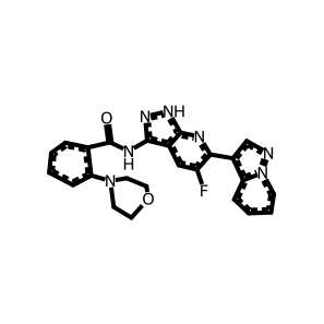 O=C(Nc1n[nH]c2nc(-c3cnn4ccccc34)c(F)cc12)c1ccccc1N1CCOCC1